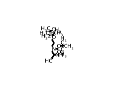 C#CC(=N)CN(CCCO[Si](C)(C)C(C)(C)C)C(=O)OC(C)(C)C